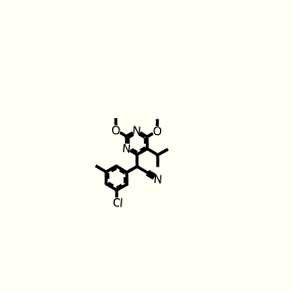 COc1nc(OC)c(C(C)C)c(C(C#N)c2cc(C)cc(Cl)c2)n1